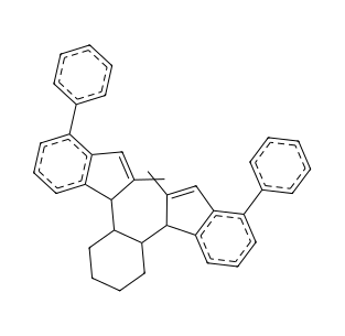 CC1=Cc2c(-c3ccccc3)cccc2C1C1CCCCC1C1C(C)=Cc2c(-c3ccccc3)cccc21